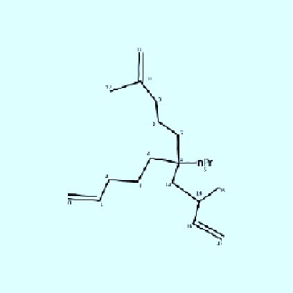 C=CCCCC(CCC)(CCCC(=C)C)CC(C)C=C